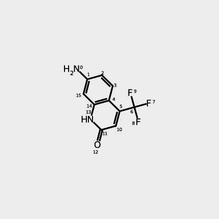 Nc1ccc2c(C(F)(F)F)cc(=O)[nH]c2c1